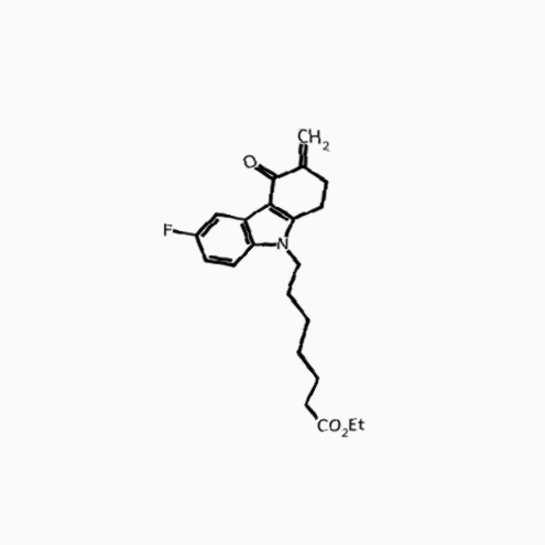 C=C1CCc2c(c3cc(F)ccc3n2CCCCCCC(=O)OCC)C1=O